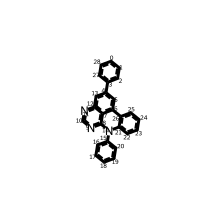 c1ccc(-c2cc3c4c(ncnc4c2)N(c2ccccc2)c2ccccc2-3)cc1